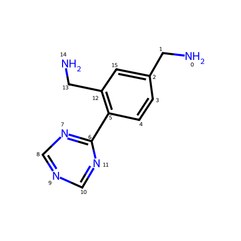 NCc1ccc(-c2ncncn2)c(CN)c1